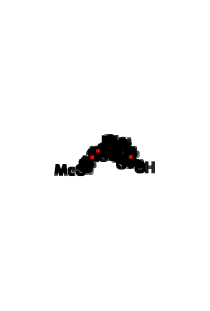 COc1ccc(C23CCC(CN(c4cc(-c5cnn(C6CCCC6)c5)ccn4)C(=O)[C@H]4CC[C@H](OC(=O)N5CC(CO)C5)CC4)(CC2)CC3)cc1C